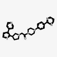 O=C(CN1CCC(c2sccc2-c2ccncc2)C1)N1CCN(c2ccc(-c3ncccn3)cc2)CC1